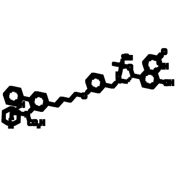 CC(C)(C)[Si](C)(C)O[C@@H](CNCc1cccc(OCC/C=C/c2ccc(-c3ccccc3)c(N(C(=O)O)[C@H]3CN4CCC3CC4)c2)c1)c1ccc(O)c2[nH]c(=O)ccc12